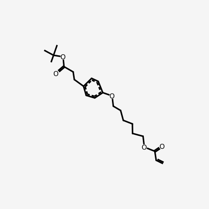 C=CC(=O)OCCCCCCOc1ccc(CCC(=O)OC(C)(C)C)cc1